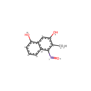 O=Ic1c(C(=O)O)c(O)cc2c(O)cccc12